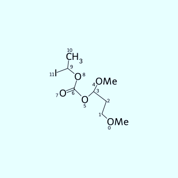 COCCC(OC)OC(=O)OC(C)I